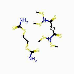 CSN(SC)[C](=S)[Zn][C](=S)N(SC)SC.NC(=S)SCCSC(N)=S